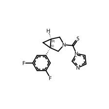 Fc1cc(F)cc([C@]23C[C@H]2CN(C(=S)n2ccnc2)C3)c1